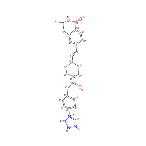 CC1Cc2cc(C=CC3CCN(C(=O)Cc4ccc(-n5cnnn5)cc4)CC3)ccc2C(=O)O1